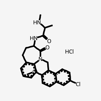 CNC(C)C(=O)NC1CCc2ccccc2N(Cc2c(OC)ccc3cc(Cl)ccc23)C1=O.Cl